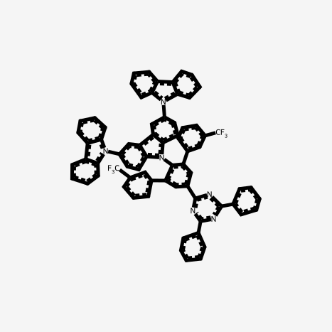 FC(F)(F)c1cccc(-c2cc(-c3nc(-c4ccccc4)nc(-c4ccccc4)n3)cc(-c3cccc(C(F)(F)F)c3)c2-n2c3ccc(-n4c5ccccc5c5ccccc54)cc3c3cc(-n4c5ccccc5c5ccccc54)ccc32)c1